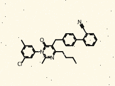 CCCCc1nc(C)n(-c2cc(C)cc(Cl)c2)c(=O)c1Cc1ccc(-c2ccccc2C#N)cc1